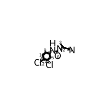 N#CC1CN1C(=O)Nc1ccc(Cl)c(Cl)c1